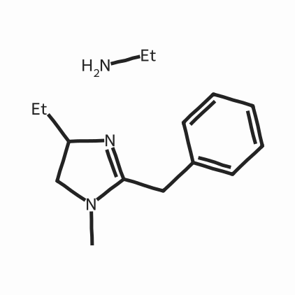 CCC1CN(C)C(Cc2ccccc2)=N1.CCN